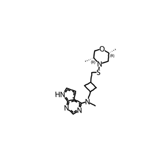 C[C@@H]1CN(SCC2CC(N(C)c3ncnc4[nH]ccc34)C2)[C@H](C)CO1